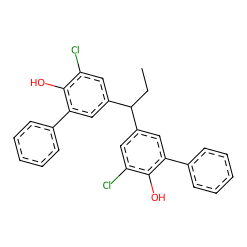 CCC(c1cc(Cl)c(O)c(-c2ccccc2)c1)c1cc(Cl)c(O)c(-c2ccccc2)c1